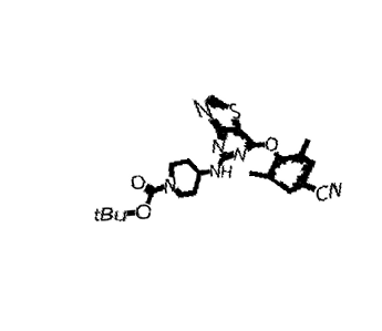 Cc1cc(C#N)cc(C)c1Oc1nc(NC2CCN(C(=O)OC(C)(C)C)CC2)nc2ncsc12